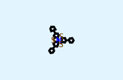 c1ccc(-c2cc3c4c(c2)Sc2cc(-c5ccccc5)cc5c2N4c2c(cc(-c4ccccc4)cc2S5)S3)cc1